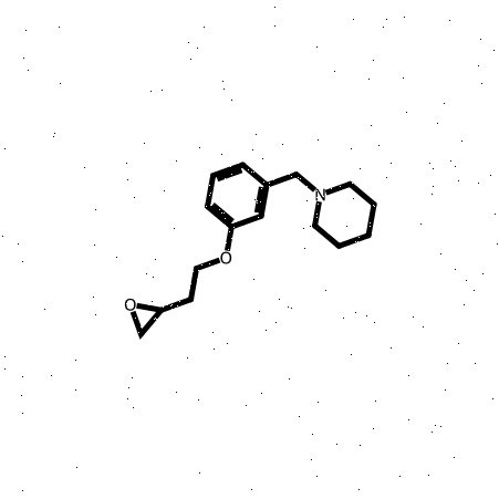 c1cc(CN2CCCCC2)cc(OCCC2CO2)c1